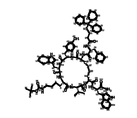 CC(C)[C@@H]1NC(=O)[C@H](CCCCNC(=O)OC(C)(C)C)NC(=O)[C@@H](Cc2c[nH]c3ccccc23)NC(=O)[C@H](Cc2ccc(O)cc2)NC(=O)[C@@H](NC(=O)[C@@H](Cc2ccccc2)NC(=O)CCSC(c2ccccc2)(c2ccccc2)c2ccccc2)CSSC[C@@H](C(=O)N[C@@H](Cc2c[nH]c3ccccc23)C(N)=O)NC1=O